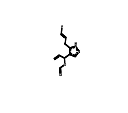 C=CC(OC=O)c1cn[nH]c1CC=CF